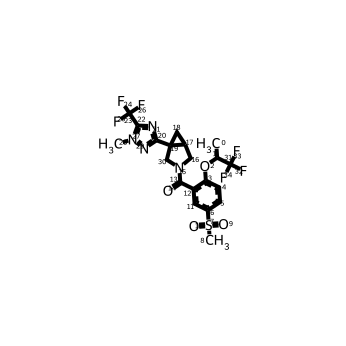 CC(Oc1ccc(S(C)(=O)=O)cc1C(=O)N1CC2CC2(c2nc(C(F)(F)F)n(C)n2)C1)C(F)(F)F